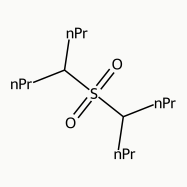 CCCC(CCC)S(=O)(=O)C(CCC)CCC